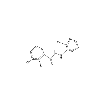 O=C(NNc1nccnc1Cl)c1cccc(Cl)c1Cl